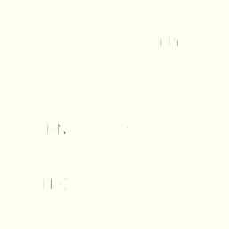 CCCc1ccc(CC(C)=N)cc1